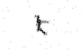 CCC=CCCOC(=O)C=CC(=O)Oc1ccc(CCC(C)=O)cc1OC